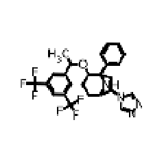 CC(OC1CCC2NC1(c1ccccc1)CC2n1cnnc1)c1cc(C(F)(F)F)cc(C(F)(F)F)c1